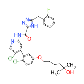 CC(C)(O)CCCCOc1ccc(Cl)c(-c2cc(NC(=O)c3nnc(Cc4ccccc4F)[nH]3)ncc2Cl)c1